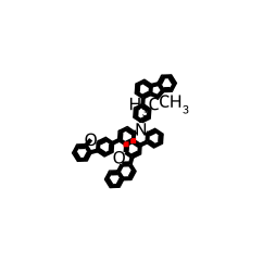 CC1(C)c2ccccc2-c2cccc(-c3ccc(N(c4ccc(-c5ccc6c(c5)oc5ccccc56)cc4)c4ccccc4-c4ccc5oc6c7ccccc7ccc6c5c4)cc3)c21